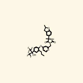 CCCc1cc(C(O)(C(F)(F)F)C(F)(F)F)ccc1Oc1ccnc(CN2C(=O)NC(C)(c3ccc4c(c3)CC(C)O4)C2=O)c1